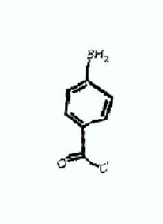 Bc1ccc(C(=O)Cl)cc1